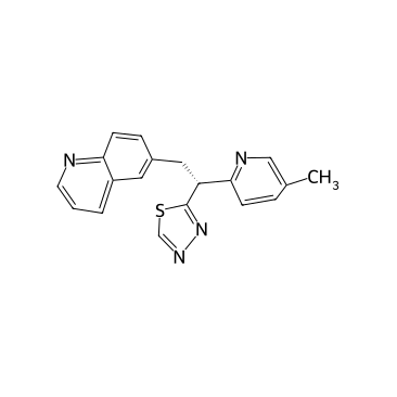 Cc1ccc([C@@H](Cc2ccc3ncccc3c2)c2nncs2)nc1